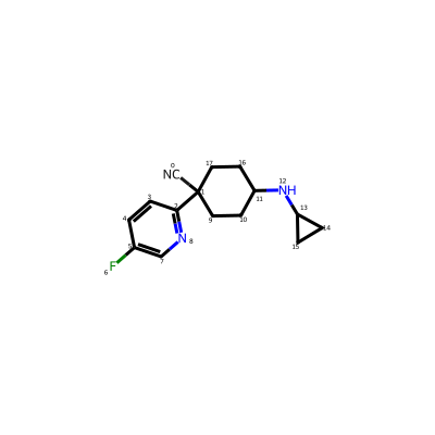 N#CC1(c2ccc(F)cn2)CCC(NC2CC2)CC1